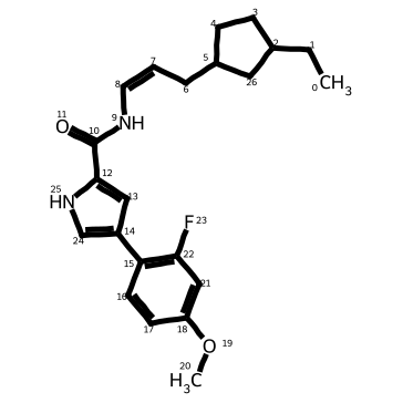 CCC1CCC(C/C=C\NC(=O)c2cc(-c3ccc(OC)cc3F)c[nH]2)C1